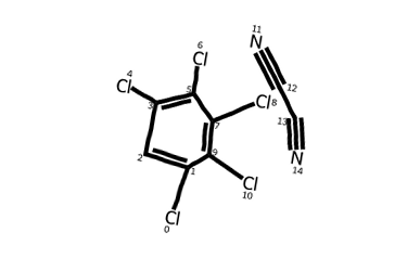 Clc1cc(Cl)c(Cl)c(Cl)c1Cl.N#CC#N